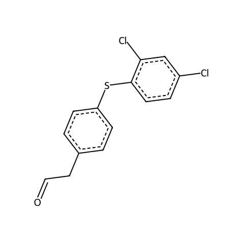 O=CCc1ccc(Sc2ccc(Cl)cc2Cl)cc1